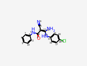 N#CC(C(=O)Nc1ccccc1)=C(N)Nc1ccc(Cl)cc1